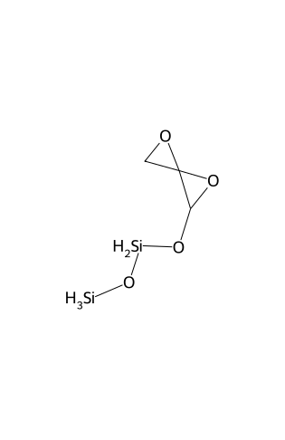 [SiH3]O[SiH2]OC1OC12CO2